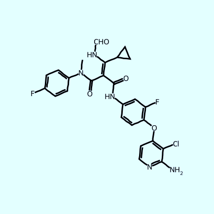 CN(C(=O)/C(C(=O)Nc1ccc(Oc2ccnc(N)c2Cl)c(F)c1)=C(\NC=O)C1CC1)c1ccc(F)cc1